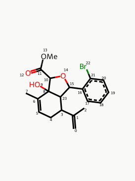 C=C(C)C1CC=C(C)C2(O)C(C(=O)OC)OC(c3ccccc3Br)C12